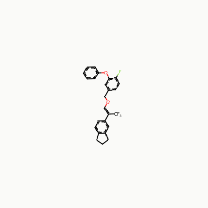 Fc1ccc(COC=C(c2ccc3c(c2)CCC3)C(F)(F)F)cc1Oc1ccccc1